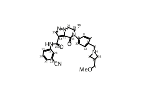 COCC1CN(Cc2ccc(N3C(=O)c4c(C(=O)Nc5cccc(C#N)c5)cnn4C[C@@H]3C)cc2)C1